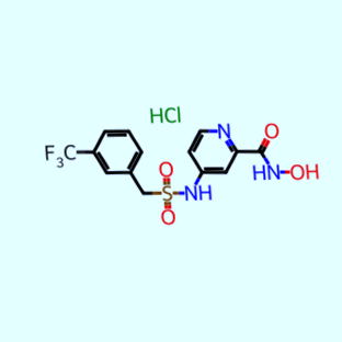 Cl.O=C(NO)c1cc(NS(=O)(=O)Cc2cccc(C(F)(F)F)c2)ccn1